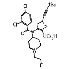 CC(C)(C)C#CC1CC(N(C(=O)c2ccc(Cl)cc2Cl)C2CCN(CCF)CC2)=C(C(=O)O)S1